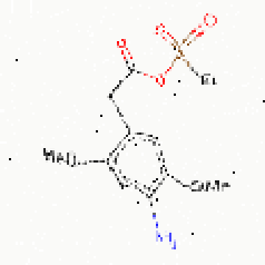 CCS(=O)(=O)OC(=O)Cc1cc(OC)c(N)cc1OC